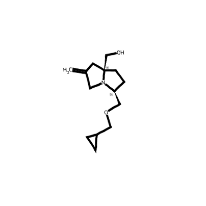 C=C1CN2[C@H](COCC3CC3)CC[C@@]2(CO)C1